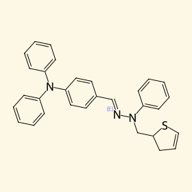 C1=CSC(CN(/N=C/c2ccc(N(c3ccccc3)c3ccccc3)cc2)c2ccccc2)C1